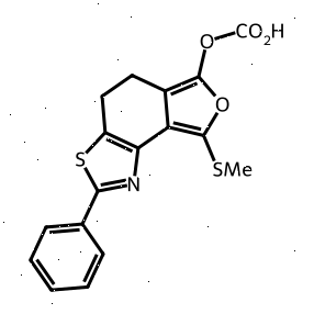 CSc1oc(OC(=O)O)c2c1-c1nc(-c3ccccc3)sc1CC2